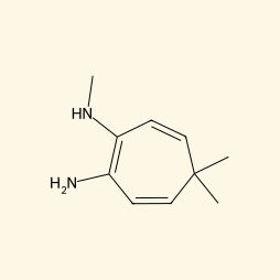 CNC1=C(N)C=CC(C)(C)C=C1